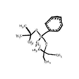 CC(C)(C)O[Si](C)(OC(C)(C)C)c1ccccc1